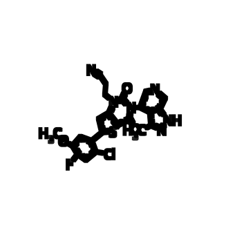 COc1cc(-c2cc3c(s2)c(=O)n(-c2cncc4[nH]nc(C)c24)c(=O)n3CCC#N)c(Cl)cc1F